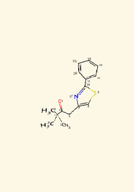 CC(C)(C)C(=O)Cc1csc(-c2ccccc2)n1